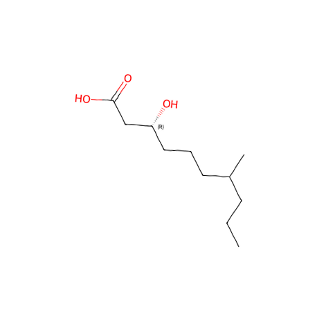 CCCC(C)CCC[C@@H](O)CC(=O)O